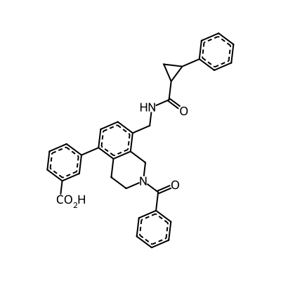 O=C(O)c1cccc(-c2ccc(CNC(=O)C3CC3c3ccccc3)c3c2CCN(C(=O)c2ccccc2)C3)c1